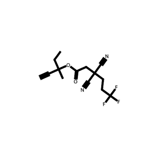 C#CC(C)(CC)OC(=O)CC(C#N)(C#N)CCC(F)(F)F